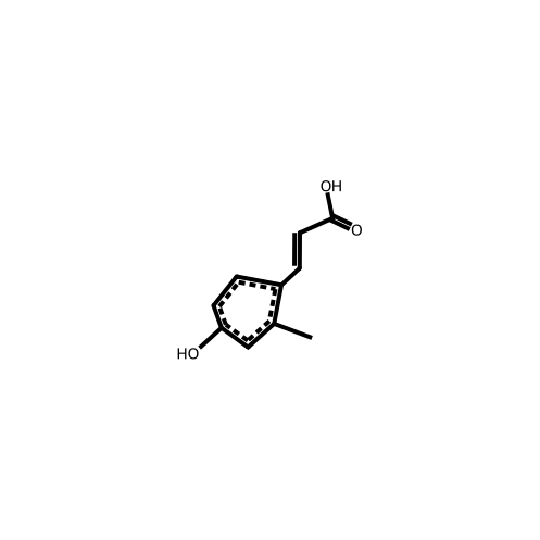 Cc1cc(O)ccc1C=CC(=O)O